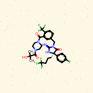 CC(C)(O)C(=O)N1CCN(C(=O)c2cc(CN3C(=N)N[C@](CCCC(F)(F)F)(c4ccc(F)cc4)C3=O)ccc2C(F)(F)F)CC1